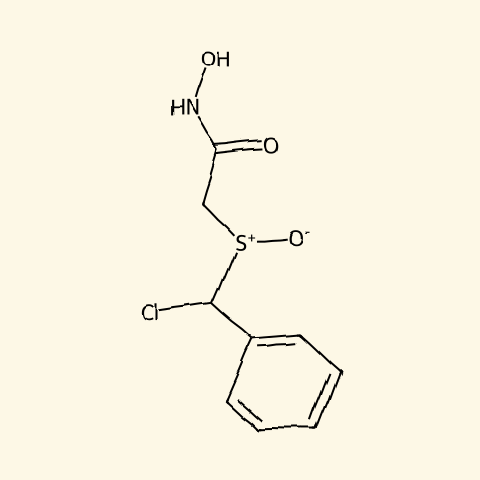 O=C(C[S+]([O-])C(Cl)c1ccccc1)NO